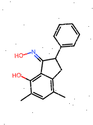 Cc1cc(C)c2c(c1O)/C(=N\O)C(c1ccccc1)C2